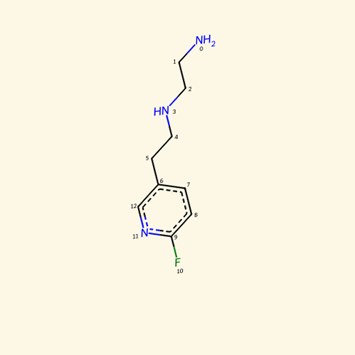 NCCNCCc1ccc(F)nc1